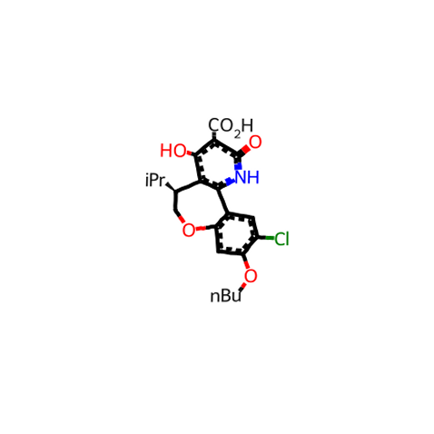 CCCCOc1cc2c(cc1Cl)-c1[nH]c(=O)c(C(=O)O)c(O)c1[C@H](C(C)C)CO2